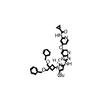 Cn1c(Nc2cc(C(C)(C)C)n(C3CC(COCc4ccccc4)(COCc4ccccc4)C3)n2)nc2ncc(Oc3ccnc(NC(=O)C4CC4)c3)cc21